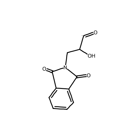 O=[C]C(O)CN1C(=O)c2ccccc2C1=O